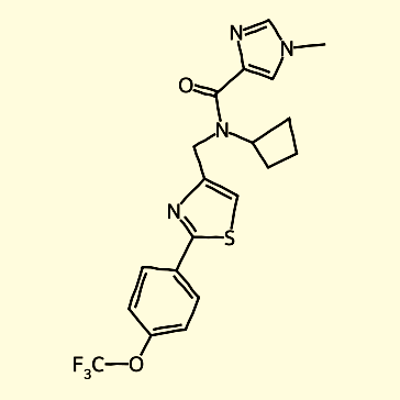 Cn1cnc(C(=O)N(Cc2csc(-c3ccc(OC(F)(F)F)cc3)n2)C2CCC2)c1